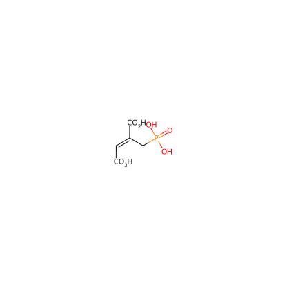 O=C(O)C=C(CP(=O)(O)O)C(=O)O